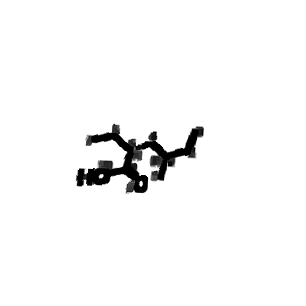 CC[C@@H](C)C[C@@H](CC)C(=O)O